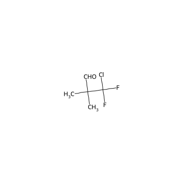 CC(C)(C=O)C(F)(F)Cl